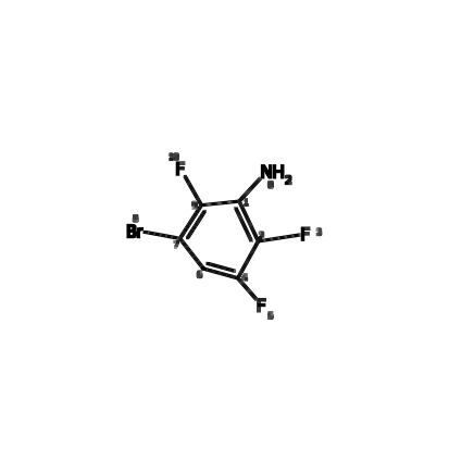 Nc1c(F)c(F)cc(Br)c1F